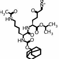 CC(=O)NCCCC[C@H](NC(=O)OC12CC3CC(CC(C3)C1)C2)C(=O)N[C@@H](CCC(=O)C=[N+]=[N-])C(=O)OC(C)C